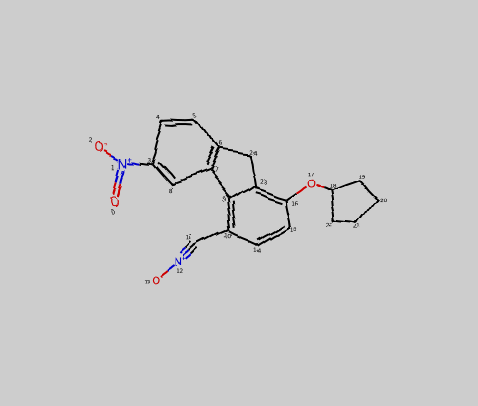 O=[N+]([O-])c1ccc2c(c1)-c1c(C#[N+][O-])ccc(OC3CCCC3)c1C2